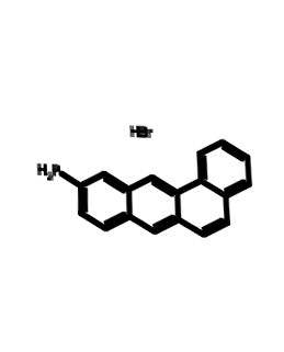 Br.Pc1ccc2cc3ccc4ccccc4c3cc2c1